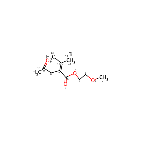 COCCOC(=O)C(CC(C)=O)=C(C)C.[Ti]